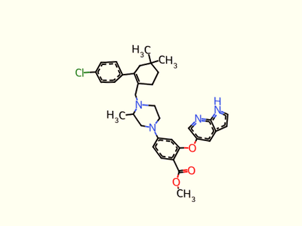 COC(=O)c1ccc(N2CCN(CC3=C(c4ccc(Cl)cc4)CC(C)(C)CC3)C(C)C2)cc1Oc1cnc2[nH]ccc2c1